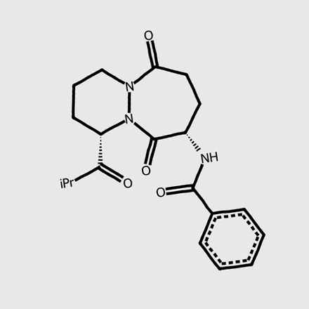 CC(C)C(=O)[C@@H]1CCCN2C(=O)CC[C@H](NC(=O)c3ccccc3)C(=O)N12